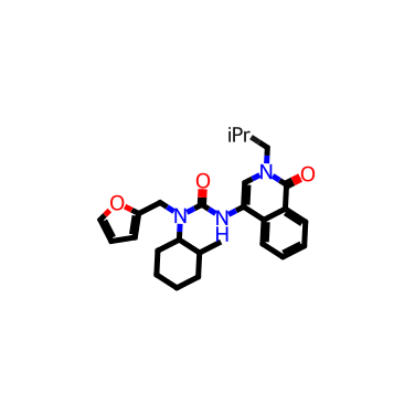 CC(C)Cn1cc(NC(=O)N(Cc2ccco2)C2CCCCC2C)c2ccccc2c1=O